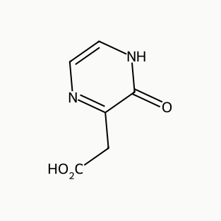 O=C(O)Cc1ncc[nH]c1=O